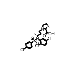 C[C@H](CCN1CCSC1C(=O)O)N(c1cc(Cl)ccc1Cl)S(=O)(=O)c1ccc(Cl)cc1